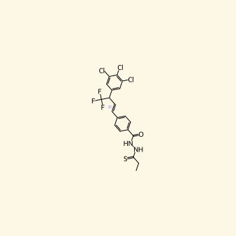 CCC(=S)NNC(=O)c1ccc(/C=C/C(c2cc(Cl)c(Cl)c(Cl)c2)C(F)(F)F)cc1